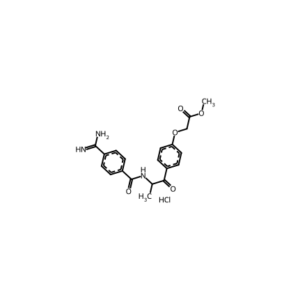 COC(=O)COc1ccc(C(=O)C(C)NC(=O)c2ccc(C(=N)N)cc2)cc1.Cl